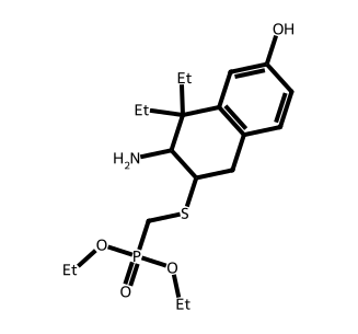 CCOP(=O)(CSC1Cc2ccc(O)cc2C(CC)(CC)C1N)OCC